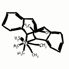 CC1=Cc2ccccc2[CH]1[Zr]([CH3])([CH3])([CH3])([CH3])(=[SiH2])[CH]1C(C)=Cc2ccccc21